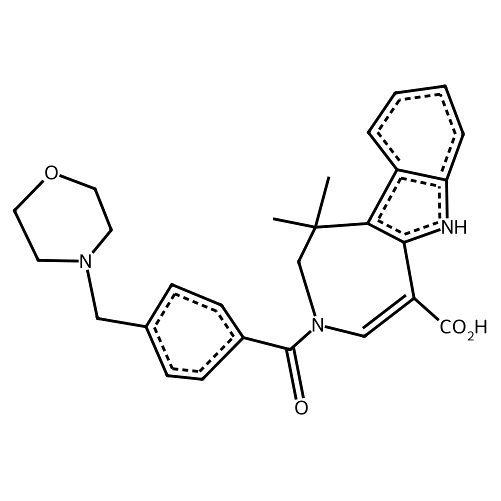 CC1(C)CN(C(=O)c2ccc(CN3CCOCC3)cc2)C=C(C(=O)O)c2[nH]c3ccccc3c21